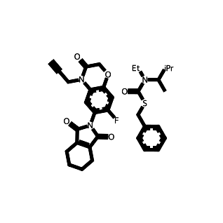 C#CCN1C(=O)COc2cc(F)c(N3C(=O)C4=C(CCCC4)C3=O)cc21.CCN(C(=O)SCc1ccccc1)C(C)C(C)C